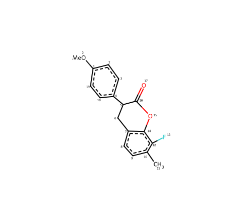 COc1ccc(C2Cc3ccc(C)c(F)c3OC2=O)cc1